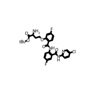 CC(C)(C)OC(=O)C(N)CCOc1cc(F)ccc1C(=O)Nc1ccc(F)cc1C(=O)Nc1ccc(Cl)cn1